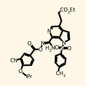 [C-]#[N+]c1cc(C(=O)O/N=C(\N)c2ncc(CCC(=O)OCC)c3ccn(S(=O)(=O)c4ccc(C)cc4)c23)ccc1OC(C)C